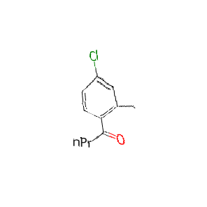 CCCC(=O)c1ccc(Cl)cc1C